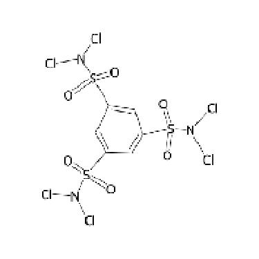 O=S(=O)(c1cc(S(=O)(=O)N(Cl)Cl)cc(S(=O)(=O)N(Cl)Cl)c1)N(Cl)Cl